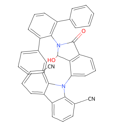 N#Cc1cccc2c3cccc(C#N)c3n(-c3cccc4c3C(O)N(c3c(-c5ccccc5)cccc3-c3ccccc3)C4=O)c12